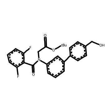 CC(C)(C)OC(=O)CN(C(=O)c1c(F)cccc1F)c1cccc(-c2ccc(CO)cc2)c1